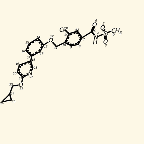 CS(=O)(=O)NC(=O)c1ccc(COc2cccc(-c3ccc(OCC4CC4)nc3)c2)c(Cl)c1